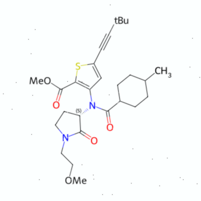 COCCN1CC[C@H](N(C(=O)C2CCC(C)CC2)c2cc(C#CC(C)(C)C)sc2C(=O)OC)C1=O